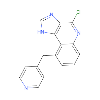 Clc1nc2cccc(Cc3ccncc3)c2c2[nH]cnc12